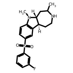 CC1C[C@@H]2[C@@H](CCN1)c1cc(S(=O)(=O)c3cccc(F)c3)ccc1N2C